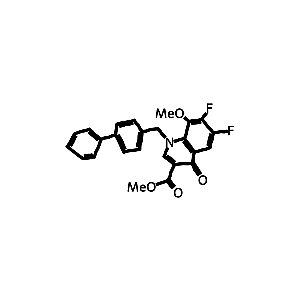 COC(=O)c1cn(Cc2ccc(-c3ccccc3)cc2)c2c(OC)c(F)c(F)cc2c1=O